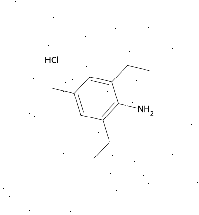 CCc1cc(C)cc(CC)c1N.Cl